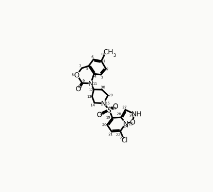 Cc1ccc2c(c1)COC(=O)N2C1CCN(S(=O)(=O)C2=CC=C(Cl)N3ONC=C23)CC1